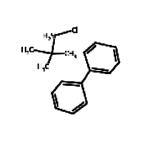 CC(C)(C)[SiH2]Cl.c1ccc(-c2ccccc2)cc1